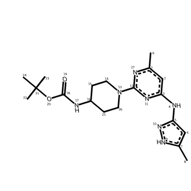 Cc1cc(Nc2cc(C)[nH]n2)nc(N2CCC(NC(=O)OC(C)(C)C)CC2)n1